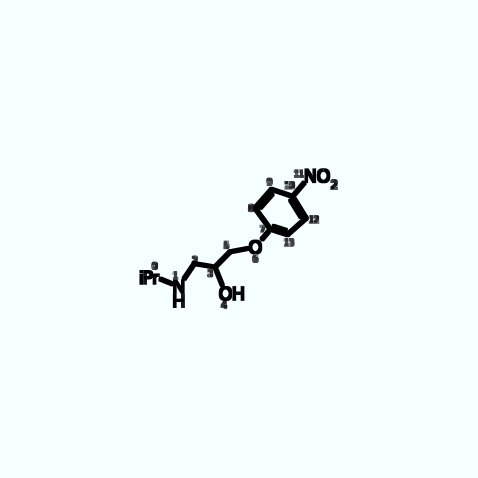 CC(C)NCC(O)COc1ccc([N+](=O)[O-])cc1